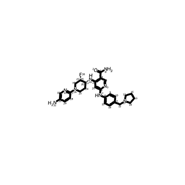 NC(=O)c1cnc(Nc2ccc(CN3CCCC3)cc2)cc1N[C@@H]1CCN(c2ccc(N)cn2)C[C@@H]1F